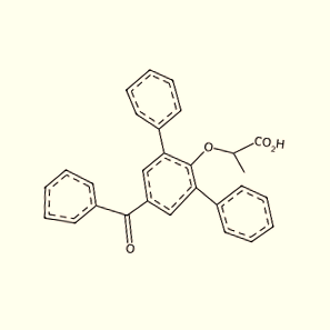 CC(Oc1c(-c2ccccc2)cc(C(=O)c2ccccc2)cc1-c1ccccc1)C(=O)O